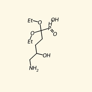 CCOC(CCC(O)CN)(OCC)[PH](=O)O